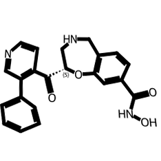 O=C(NO)c1ccc2c(c1)O[C@H](C(=O)c1ccncc1-c1ccccc1)CNC2